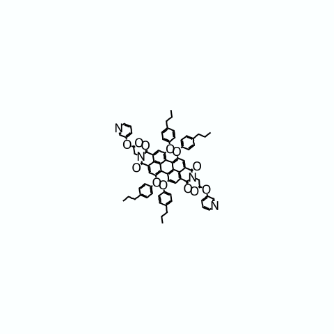 CCCc1ccc(Oc2cc3c4c(cc(Oc5ccc(CCC)cc5)c5c6c(Oc7ccc(CCC)cc7)cc7c8c(cc(Oc9ccc(CCC)cc9)c(c2c45)c86)C(=O)N(CC(=O)Oc2cccnc2)C7=O)C(=O)N(CC(=O)Oc2cccnc2)C3=O)cc1